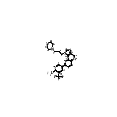 Nc1ncc(-c2ccc3ncc4ncn(CCCN5CCOCC5)c4c3n2)cc1C(F)(F)F